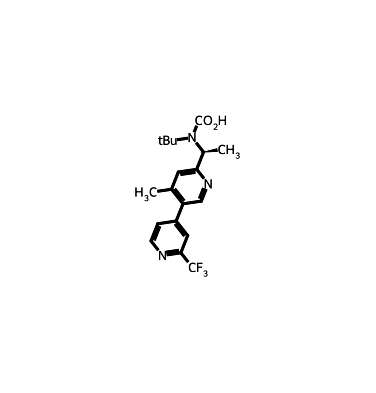 Cc1cc([C@H](C)N(C(=O)O)C(C)(C)C)ncc1-c1ccnc(C(F)(F)F)c1